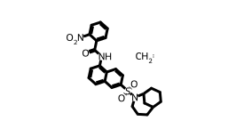 O=C(Nc1cccc2cc(S(=O)(=O)N3CCCC4CCCC3C4)ccc12)c1ccccc1[N+](=O)[O-].[CH2]